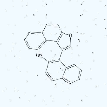 Oc1ccc2ccccc2c1-c1coc2ccc3ccccc3c12